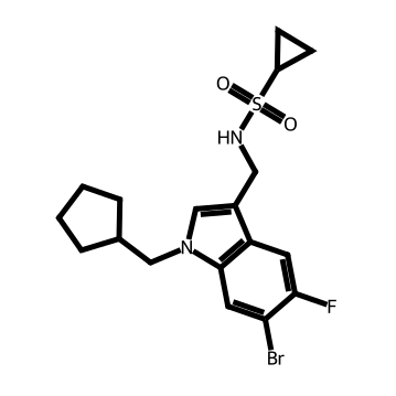 O=S(=O)(NCc1cn(CC2CCCC2)c2cc(Br)c(F)cc12)C1CC1